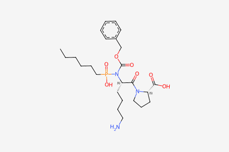 CCCCCCP(=O)(O)N(C(=O)OCc1ccccc1)[C@@H](CCCCN)C(=O)N1CCC[C@H]1C(=O)O